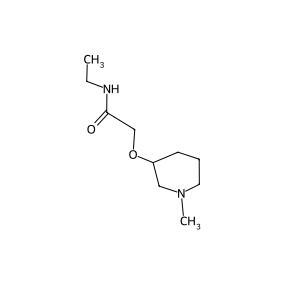 CCNC(=O)COC1CCCN(C)C1